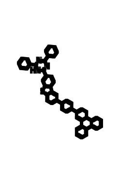 C1=C(c2ccc(-c3ccc4sc5cc(C6=NC(c7ccccc7)=NC(c7ccccc7)N6)ccc5c4c3)cc2)C=C2c3ccccc3-c3ccccc3C2C1